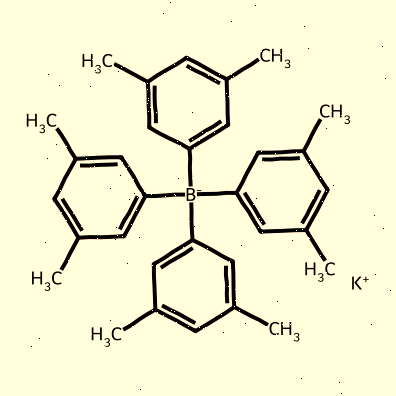 Cc1cc(C)cc([B-](c2cc(C)cc(C)c2)(c2cc(C)cc(C)c2)c2cc(C)cc(C)c2)c1.[K+]